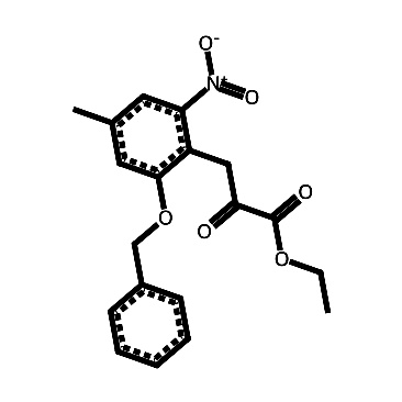 CCOC(=O)C(=O)Cc1c(OCc2ccccc2)cc(C)cc1[N+](=O)[O-]